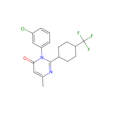 Cc1cc(=O)n(-c2cccc(Cl)c2)c(C2CCC(C(F)(F)F)CC2)n1